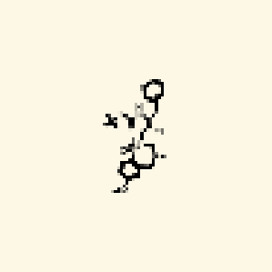 COc1ccc2c(c1)C[C@@H](C)CN(C[C@@H](O)[C@H](Cc1ccccc1)NC(=O)OC(C)(C)C)S2(=O)=O